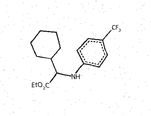 CCOC(=O)C(Nc1ccc(C(F)(F)F)cc1)C1CCCCC1